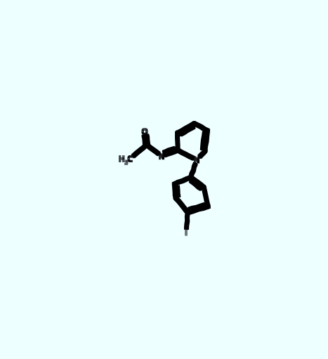 CC(=O)N=c1ccccn1-c1ccc(I)cc1